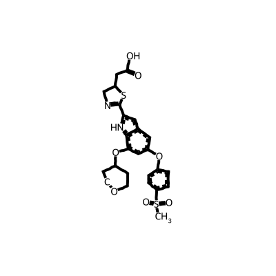 CS(=O)(=O)c1ccc(Oc2cc(OC3CCOCC3)c3[nH]c(C4=NCC(CC(=O)O)S4)cc3c2)cc1